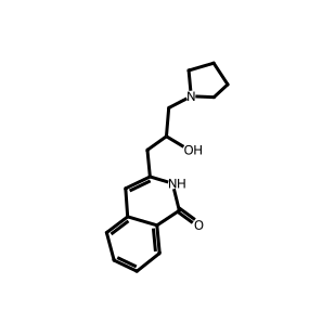 O=c1[nH]c(CC(O)CN2CCCC2)cc2ccccc12